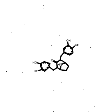 O=C1C(Cc2ccc(O)c(O)c2)C2CCC(N2)C1Cc1ccc(O)c(O)c1